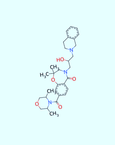 CC1COCC(C)N1C(=O)c1ccc2c(c1)OC(C)(C)CN(CC(O)CN1CCc3ccccc3C1)C2=O